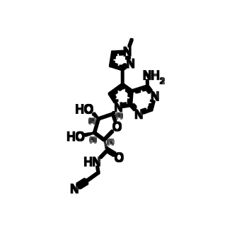 Cn1ccc(-c2cn([C@@H]3O[C@H](C(=O)NCC#N)[C@@H](O)[C@H]3O)c3ncnc(N)c23)n1